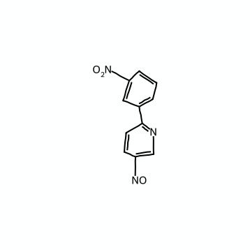 O=Nc1ccc(-c2cccc([N+](=O)[O-])c2)nc1